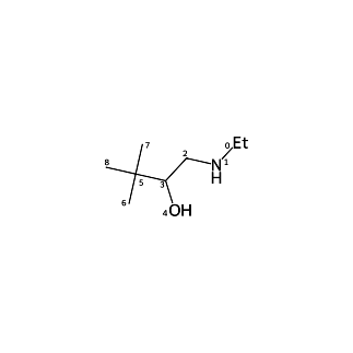 CCNCC(O)C(C)(C)C